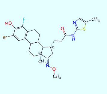 CON=C1C[C@@H](CCC(=O)Nc2ncc(C)s2)C2C3CCc4c(cc(Br)c(O)c4F)C3CC[C@]12C